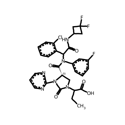 CCC(C(=O)O)N1C[C@@H](C(=O)N(c2cccc(F)c2)C(C(=O)NC2CC(F)(F)C2)c2ccccc2Cl)N(c2ncccn2)C1=O